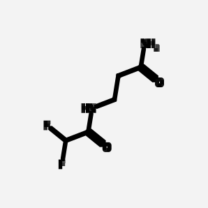 NC(=O)CCNC(=O)C(F)F